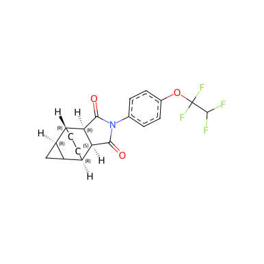 O=C1[C@@H]2[C@@H]3CC[C@H](C4C[C@H]43)[C@@H]2C(=O)N1c1ccc(OC(F)(F)C(F)F)cc1